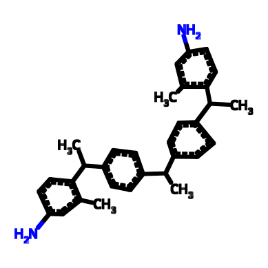 Cc1cc(N)ccc1C(C)c1ccc(C(C)c2ccc(C(C)c3ccc(N)cc3C)cc2)cc1